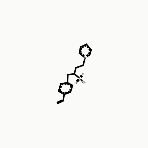 C=Cc1ccc(CC(CC[n+]2ccccc2)S(=O)(=O)O)cc1